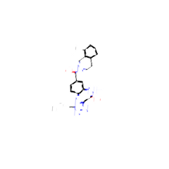 CCCc1nnc2c(=O)[nH]c3cc(C(=O)N4CCc5cccc(C(F)(F)F)c5C4)ccc3n12